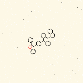 c1ccc(-c2oc3ccccc3c2-c2ccc(-c3c4ccccc4c(-c4cccc5ccccc45)c4ccccc34)cc2)cc1